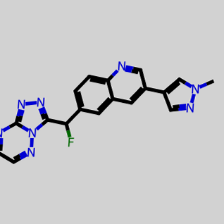 Cn1cc(-c2cnc3ccc(C(F)c4nnc5nccnn45)cc3c2)cn1